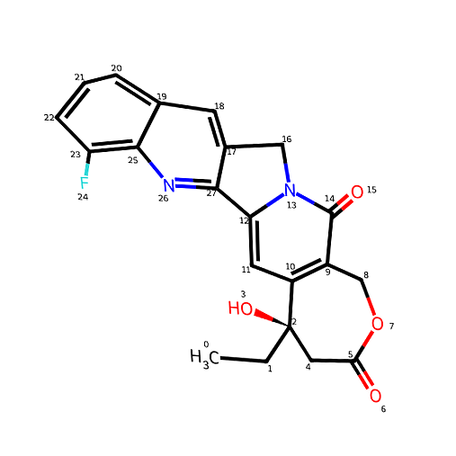 CC[C@@]1(O)CC(=O)OCc2c1cc1n(c2=O)Cc2cc3cccc(F)c3nc2-1